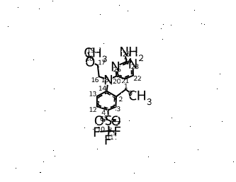 CCc1cc(S(=O)(=O)C(F)(F)F)ccc1N(CCOC)c1ccnc(N)n1